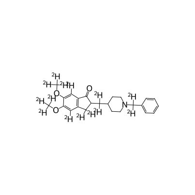 [2H]c1c(OC([2H])([2H])[2H])c(OC([2H])([2H])[2H])c([2H])c2c1C(=O)C(C([2H])([2H])C1CCN(C([2H])([2H])c3ccccc3)CC1)C2([2H])[2H]